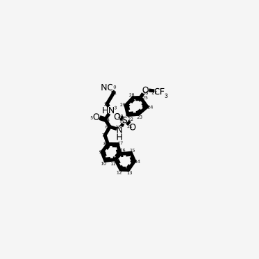 N#CCCNC(=O)C(Cc1ccc2ccccc2c1)NS(=O)(=O)c1ccc(OC(F)(F)F)cc1